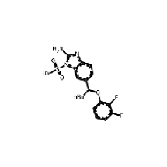 CCCCC(Oc1cccc(F)c1F)c1ccc2nc(N)n(S(=O)(=O)C(C)C)c2c1